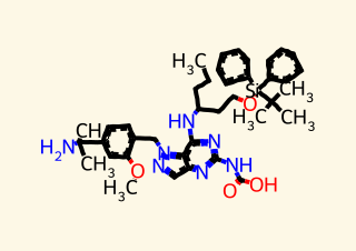 CCCC(CCO[Si](c1ccccc1)(c1ccccc1)C(C)(C)C)Nc1nc(NC(=O)O)nc2cnn(Cc3ccc(C(C)(C)N)cc3OC)c12